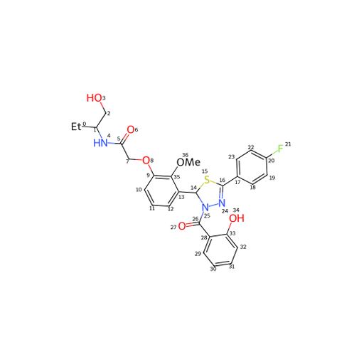 CCC(CO)NC(=O)COc1cccc(C2SC(c3ccc(F)cc3)=NN2C(=O)c2ccccc2O)c1OC